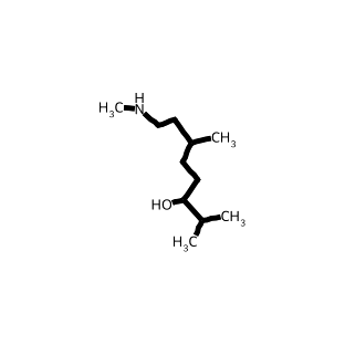 CNCCC(C)CCC(O)C(C)C